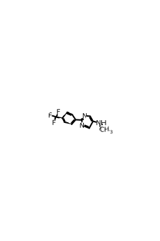 CNc1cnc(-c2ccc(C(F)(F)F)cc2)nc1